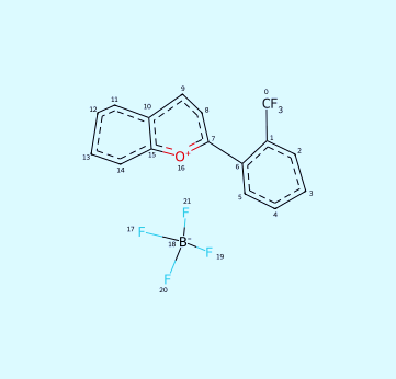 FC(F)(F)c1ccccc1-c1ccc2ccccc2[o+]1.F[B-](F)(F)F